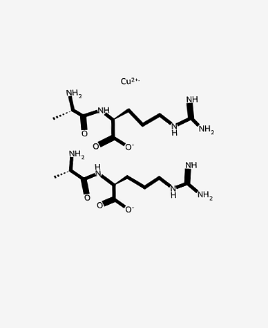 C[C@H](N)C(=O)N[C@@H](CCCNC(=N)N)C(=O)[O-].C[C@H](N)C(=O)N[C@@H](CCCNC(=N)N)C(=O)[O-].[Cu+2]